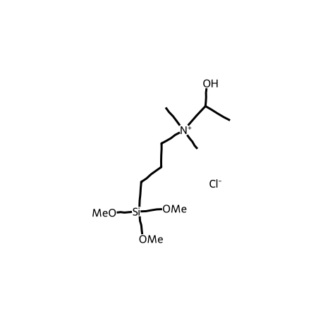 CO[Si](CCC[N+](C)(C)C(C)O)(OC)OC.[Cl-]